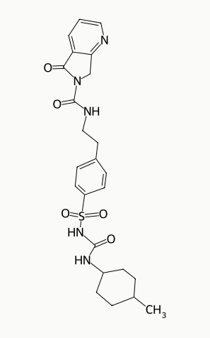 CC1CCC(NC(=O)NS(=O)(=O)c2ccc(CCNC(=O)N3Cc4ncccc4C3=O)cc2)CC1